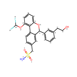 NS(=O)(=O)Cc1ccc2c(c1)C(c1cccc(CCO)c1)Oc1cccc(OC(F)F)c1-2